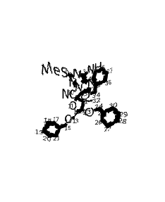 CSc1nc(N)c2ncc(C3(C#N)O[C@H](COCc4ccccc4)[C@@H](OCc4ccccc4)[C@@]3(C)OCc3ccccc3)n2n1